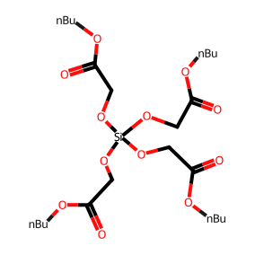 CCCCOC(=O)CO[Si](OCC(=O)OCCCC)(OCC(=O)OCCCC)OCC(=O)OCCCC